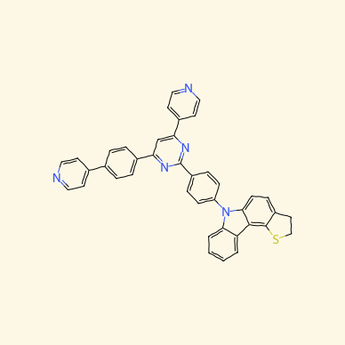 c1ccc2c(c1)c1c3c(ccc1n2-c1ccc(-c2nc(-c4ccncc4)cc(-c4ccc(-c5ccncc5)cc4)n2)cc1)CCS3